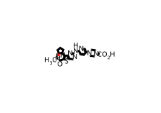 CN(C)C(=O)c1sc2cnc(Nc3ccc(N4CCN(C(=O)O)CC4)cn3)nc2c1C1CCCC1